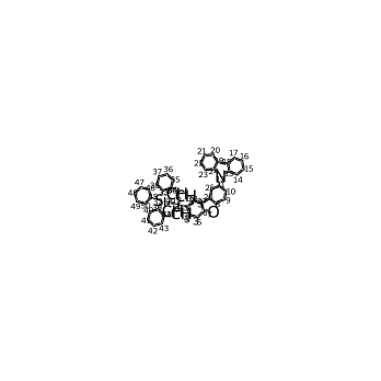 CC(C)(c1ccc2oc3ccc(-n4c5ccccc5c5ccccc54)cc3c2c1)C(C)(C)[Si](c1ccccc1)(c1ccccc1)c1ccccc1